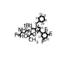 C[C@H](O)C(=O)N(CC[C@H](N)CF)[C@@H](c1nc(-c2cc(F)cc(F)c2F)cn1Cc1ccccc1)C(C)(C)C